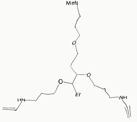 C#CNCCCOC(CCOCCCNC)C(CC)OCCCNC=C